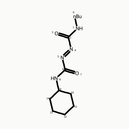 CCCCNC(=O)N=NC(=O)NC1CCCCC1